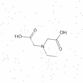 [CH2]CN(CC(=O)O)CC(=O)O